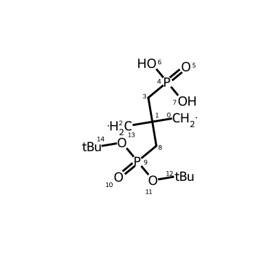 [CH2]C([CH2])(CP(=O)(O)O)CP(=O)(OC(C)(C)C)OC(C)(C)C